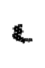 CCOC(=O)C(C)(C)Sc1ccc2cncc(-c3cccc4c(C#N)cccc34)c2c1